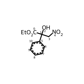 CCOC(=O)C(O)(C[N+](=O)[O-])c1ccccc1